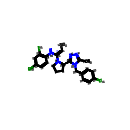 Cc1nnc([C@H]2CCCN2/C(=C/[N+](=O)[O-])Nc2ccc(Cl)cc2F)n1Cc1ccc(Cl)cc1